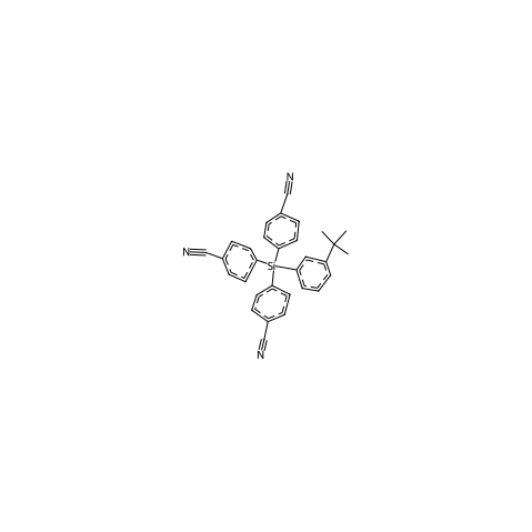 CC(C)(C)c1cccc([Si](c2ccc(C#N)cc2)(c2ccc(C#N)cc2)c2ccc(C#N)cc2)c1